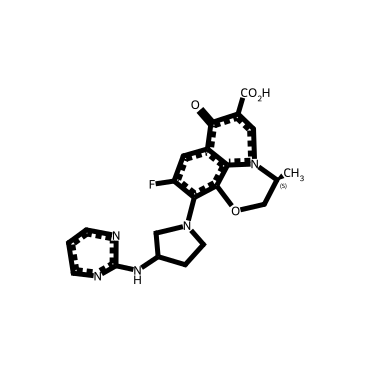 C[C@H]1COc2c(N3CCC(Nc4ncccn4)C3)c(F)cc3c(=O)c(C(=O)O)cn1c23